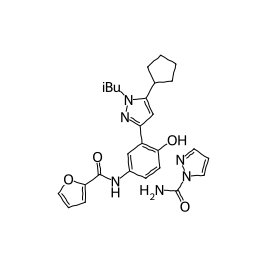 CCC(C)n1nc(-c2cc(NC(=O)c3ccco3)ccc2O)cc1C1CCCC1.NC(=O)n1cccn1